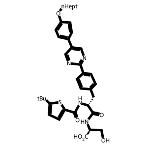 CCCCCCCOc1ccc(-c2cnc(-c3ccc(C[C@@H](NC(=O)c4ccc(C(C)(C)C)s4)C(=O)N[C@@H](CO)C(=O)O)cc3)nc2)cc1